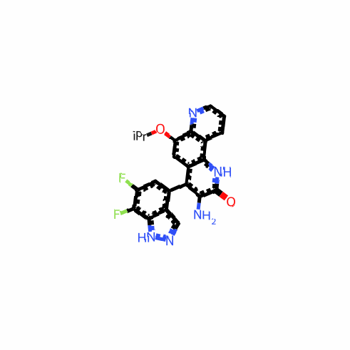 CC(C)Oc1cc2c(-c3cc(F)c(F)c4[nH]ncc34)c(N)c(=O)[nH]c2c2cccnc12